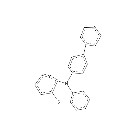 c1ccc2c(c1)Sc1ccccc1N2c1ccc(-c2ccncc2)cc1